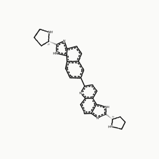 c1cc2c(ccc3nc([C@@H]4CCCN4)[nH]c32)cc1-c1ccc2c(ccc3nc([C@@H]4CCCN4)[nH]c32)n1